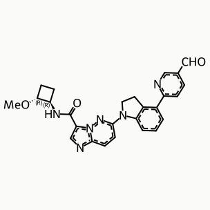 CO[C@@H]1CC[C@H]1NC(=O)c1cnc2ccc(N3CCc4c(-c5ccc(C=O)cn5)cccc43)nn12